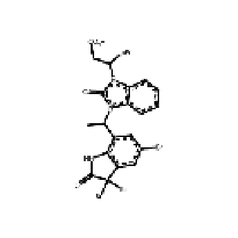 CCCC(CC(=O)O)n1c(=O)n(C(C)c2cc(Br)cc3c2NC(=O)C3(Br)Br)c2ccccc21